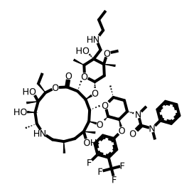 CCCNC[C@]1(O)[C@H](C)O[C@@H](O[C@H]2[C@H](C)[C@@H](O[C@@H]3O[C@H](C)C[C@H](N(C)C(=O)N(C)c4ccccc4)[C@H]3Oc3ccc(F)c(C(F)(F)F)c3)[C@](C)(O)C[C@@H](C)CN[C@H](C)[C@@H](O)[C@](C)(O)[C@@H](CC)OC(=O)[C@@H]2C)C[C@@]1(C)OC